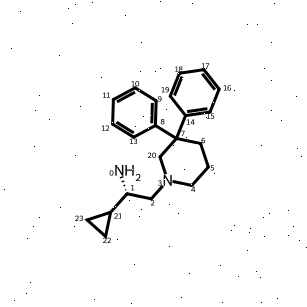 N[C@H](CN1CCCC(c2ccccc2)(c2ccccc2)C1)C1CC1